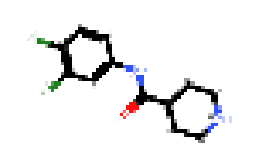 O=C(Nc1ccc(Cl)c(Cl)c1)C1CCNCC1